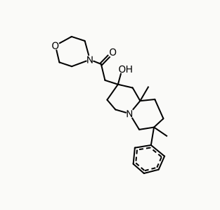 CC1(c2ccccc2)CCC2(C)CC(O)(CC(=O)N3CCOCC3)CCN2C1